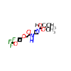 CC(C)(C)OC(=O)N1CC(NC(=O)CO[C@H]2C[C@@H](OC(F)(F)F)C2)C1